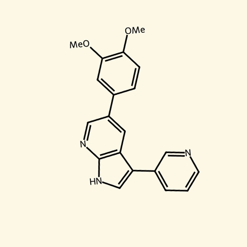 COc1ccc(-c2cnc3[nH]cc(-c4cccnc4)c3c2)cc1OC